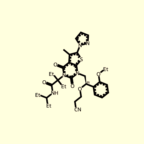 CCOc1ccccc1[C@H](Cn1c(=O)n(C(CC)(CC)C(=O)NC(CC)CC)c(=O)c2c(C)c(-n3cccn3)sc21)OCCC#N